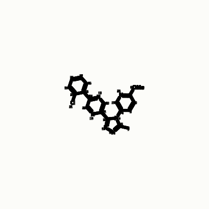 COc1ccc(-n2c(C)nnc2-c2cnc(-c3ccccc3Cl)cn2)cn1